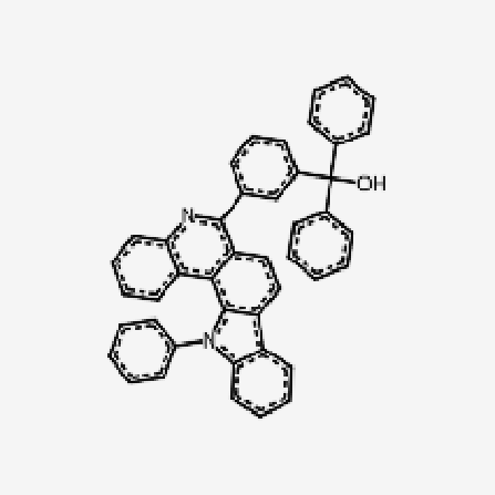 OC(c1ccccc1)(c1ccccc1)c1cccc(-c2nc3ccccc3c3c2ccc2c4ccccc4n(-c4ccccc4)c23)c1